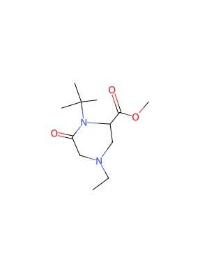 CCN1CC(=O)N(C(C)(C)C)C(C(=O)OC)C1